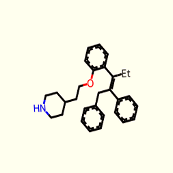 CCC(=C(Cc1ccccc1)c1ccccc1)c1ccccc1OCCC1CCNCC1